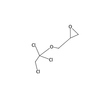 ClCC(Cl)(Cl)OCC1CO1